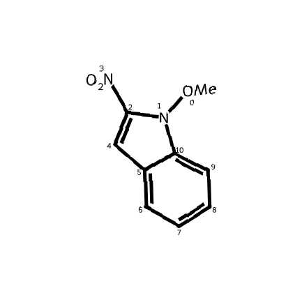 COn1c([N+](=O)[O-])cc2ccccc21